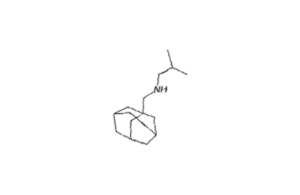 CC(C)CNCC12CC3CC(CC(C3)C1)C2